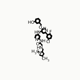 CC1CC(CNCC(=O)Nc2cc(Nc3cc(-c4cc(Cl)ccc4F)nnc3OCc3cccc(O)c3)ccn2)N(C)C1